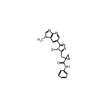 CCn1c(SC2(C(=O)Nc3ccccc3)CC2)nnc1-c1cnc2ncn(C)c2c1